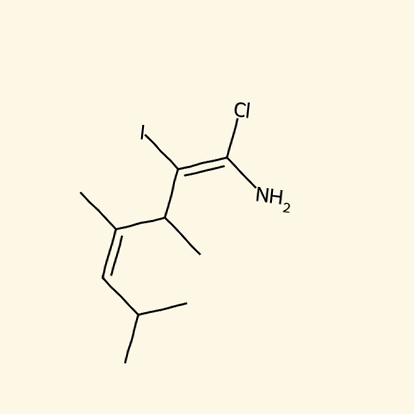 C/C(=C/C(C)C)C(C)/C(I)=C(\N)Cl